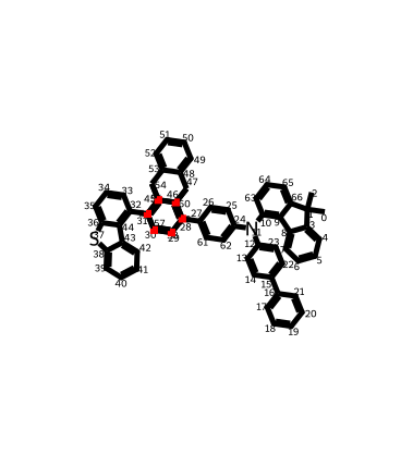 CC1(C)c2ccccc2-c2c(N(c3ccc(-c4ccccc4)cc3)c3ccc(-c4ccc(-c5cccc6sc7ccccc7c56)c5c4C4c6ccccc6C5c5ccccc54)cc3)cccc21